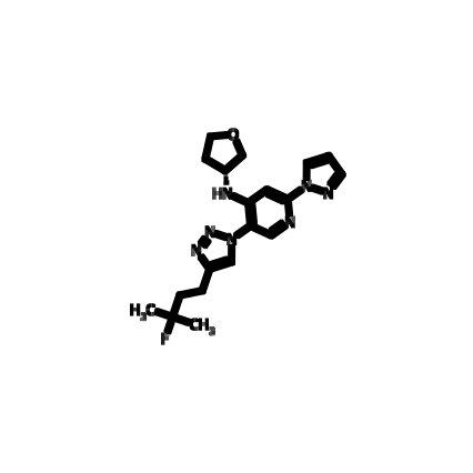 CC(C)(F)CCc1cn(-c2cnc(-n3cccn3)cc2N[C@@H]2CCOC2)nn1